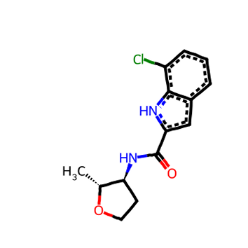 C[C@H]1OCC[C@@H]1NC(=O)c1cc2cccc(Cl)c2[nH]1